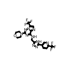 FC(F)(F)c1ccc(-c2nnc(CNc3nc(N4CCOCC4)nn4c(C(F)(F)F)cnc34)[nH]2)cn1